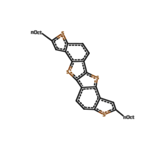 CCCCCCCCc1cc2c(ccc3c2sc2c4ccc5sc(CCCCCCCC)cc5c4sc32)s1